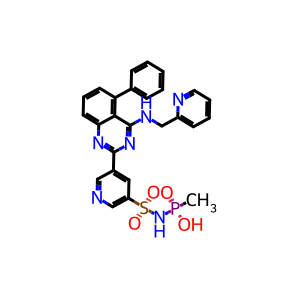 CP(=O)(O)NS(=O)(=O)c1cncc(-c2nc(NCc3ccccn3)c3c(-c4ccccc4)cccc3n2)c1